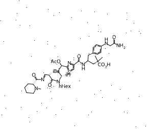 CCCCCCN(C(=O)C(/C=N/C(=O)[C@H]1CCCCN1C)[C@@H](C)CC)[C@H](C[C@@H](OC(C)=O)c1nc(C(=O)NC(Cc2ccc(NCC(N)=O)cc2)CC(C)(C)C(=O)O)cs1)C(C)C